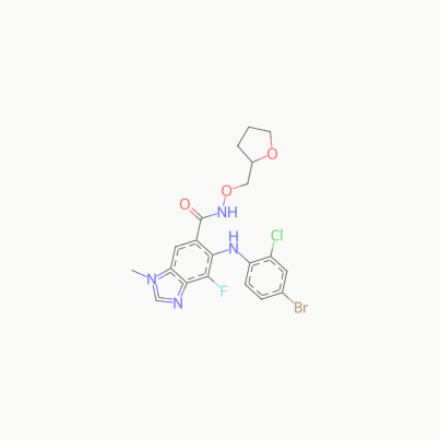 Cn1cnc2c(F)c(Nc3ccc(Br)cc3Cl)c(C(=O)NOCC3CCCO3)cc21